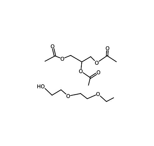 CC(=O)OCC(COC(C)=O)OC(C)=O.CCOCCOCCO